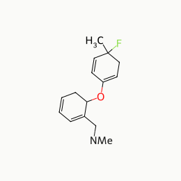 CNCC1=CC=CCC1OC1=CCC(C)(F)C=C1